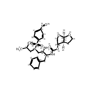 CC(C)CN(C[C@@H](N)[C@H](Cc1ccccc1)NC(=O)O[C@H]1CO[C@H]2OCC[C@H]21)S(=O)(=O)c1ccc(N=O)cc1